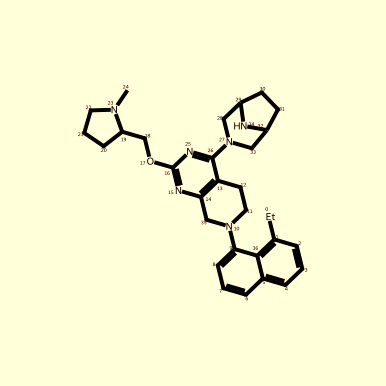 CCc1cccc2cccc(N3CCc4c(nc(OCC5CCCN5C)nc4N4CC5CCC(C4)N5)C3)c12